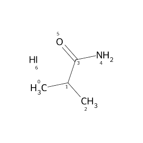 CC(C)C(N)=O.I